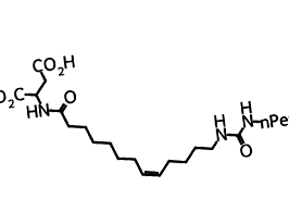 CCCCCNC(=O)NCCCC/C=C\CCCCCCC(=O)NC(CC(=O)O)C(=O)O